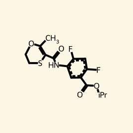 CC1=C(C(=O)Nc2cc(C(=O)OC(C)C)c(F)cc2F)SCCO1